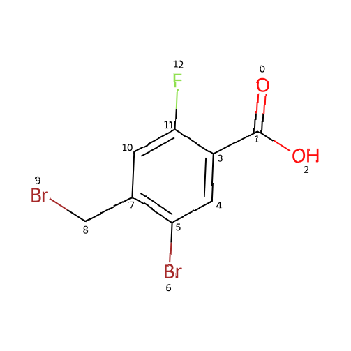 O=C(O)c1cc(Br)c(CBr)cc1F